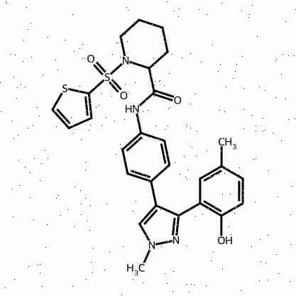 Cc1ccc(O)c(-c2nn(C)cc2-c2ccc(NC(=O)C3CCCCN3S(=O)(=O)c3cccs3)cc2)c1